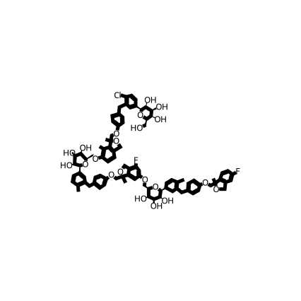 CC1=C(Cc2ccc(OCC3(C)OCc4cc(F)ccc43)cc2)CC([C@@H]2O[C@H](COc3cc(F)c4c(c3)C(C)(COc3ccc(Cc5cc([C@@H]6O[C@H](COc7ccc8c(c7C)C(C)(COc7ccc(Cc9cc([C@@H]%10O[C@H](CO)[C@@H](O)[C@H](O)[C@H]%10O)ccc9Cl)cc7)OC8)[C@@H](O)[C@H](O)[C@H]6O)ccc5C)cc3)OC4)[C@@H](O)[C@H](O)[C@H]2O)C=C1